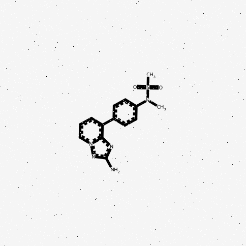 CN(c1ccc(-c2cccn3nc(N)nc23)cc1)S(C)(=O)=O